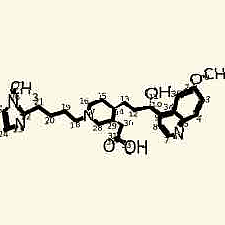 COc1ccc2nccc([C@@H](O)CC[C@@H]3CCN(CCCCc4nccn4C)C[C@@H]3CC(=O)O)c2c1